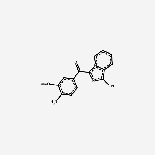 COc1cc(C(=O)c2nc(C#N)c3ccccn23)ccc1N